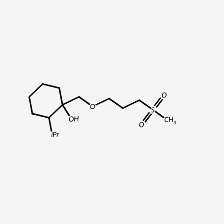 CC(C)C1CCCCC1(O)COCCCS(C)(=O)=O